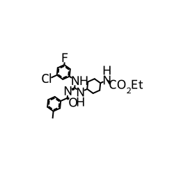 CCOC(=O)NC1CCC(N/C(=N\C(=O)c2cccc(C)c2)Nc2cc(F)cc(Cl)c2)CC1